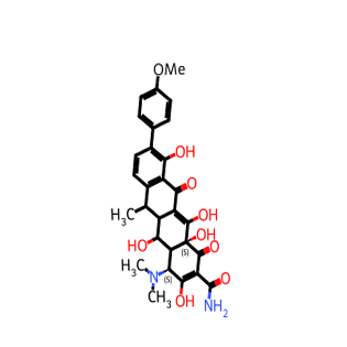 COc1ccc(-c2ccc3c(c2O)C(=O)C2=C(O)[C@]4(O)C(=O)C(C(N)=O)=C(O)[C@@H](N(C)C)C4C(O)C2C3C)cc1